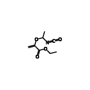 C=C(OC(C)N=C=O)C(=O)OCC